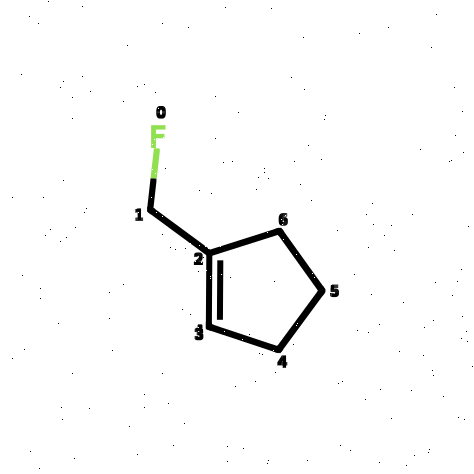 FCC1=[C]CCC1